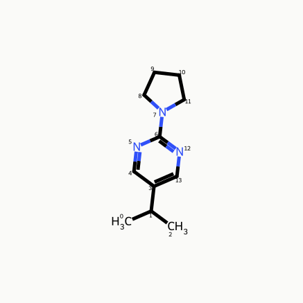 CC(C)c1cnc(N2CCCC2)nc1